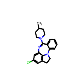 CC1CCN(C2=Nc3cc(Cl)cc4c3N(CC4)c3ccccc32)CC1